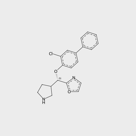 Clc1cc(-c2ccccc2)ccc1O[C@H](c1ncco1)C1CCNC1